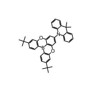 CC(C)(C)c1ccc2c(c1)Oc1cc(N3c4ccccc4C(C)(C)c4ccccc43)cc3c1B2c1ccc(C(C)(C)C)cc1O3